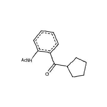 CC(=O)Nc1ccccc1C(=O)C1CCCC1